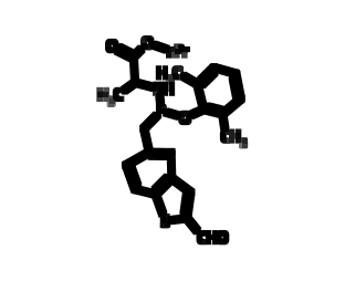 CCCOC(=O)C(C)NP(Cc1ccc2sc(C=O)cc2c1)Oc1c(C)cccc1C